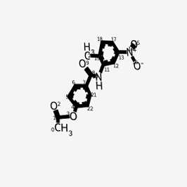 CC(=O)Oc1ccc(C(=O)Nc2cc([N+](=O)[O-])ccc2C)cc1